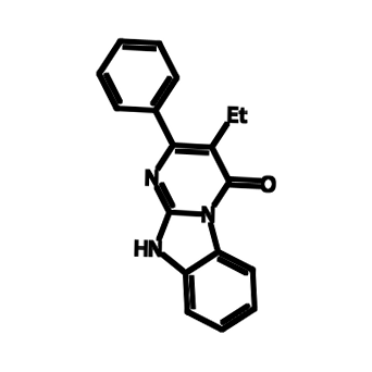 CCc1c(-c2ccccc2)nc2[nH]c3ccccc3n2c1=O